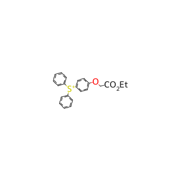 CCOC(=O)COc1ccc([S+](c2ccccc2)c2ccccc2)cc1